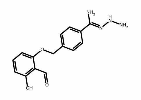 NN/N=C(\N)c1ccc(COc2cccc(O)c2C=O)cc1